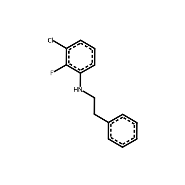 Fc1c(Cl)cccc1NCCc1ccccc1